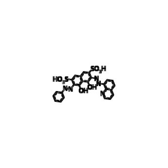 O=S(=O)(O)c1cc2cc(S(=O)(=O)O)c(N=Nc3cccc4cccnc34)c(O)c2c(O)c1N=Nc1ccccc1